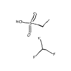 CCS(=O)(=O)O.FC(F)F